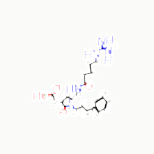 N=C(N)NCCCCC(=O)NC[C@@H]1C[C@@H](CC(=O)O)C(=O)N1CCCc1ccccc1